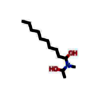 CCCCCCCCCC(O)N(C)C(C)O